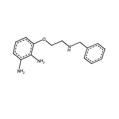 Nc1cccc(OCCNCc2ccccc2)c1N